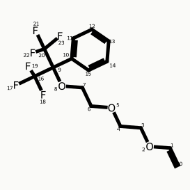 C=COCCOCCOC(c1ccccc1)(C(F)(F)F)C(F)(F)F